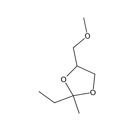 CCC1(C)OCC(COC)O1